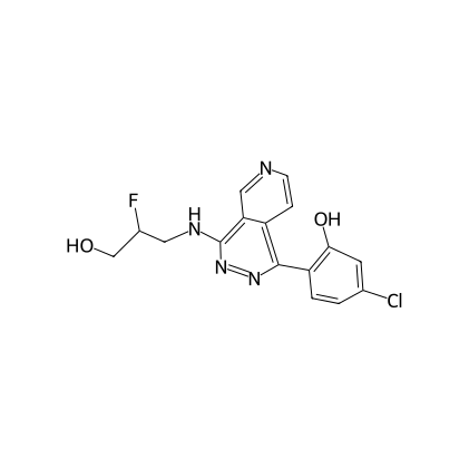 OCC(F)CNc1nnc(-c2ccc(Cl)cc2O)c2ccncc12